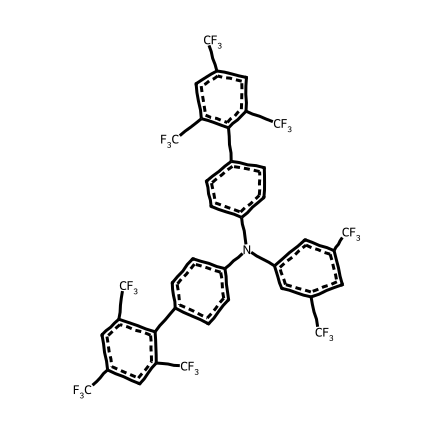 FC(F)(F)c1cc(N(c2ccc(-c3c(C(F)(F)F)cc(C(F)(F)F)cc3C(F)(F)F)cc2)c2ccc(-c3c(C(F)(F)F)cc(C(F)(F)F)cc3C(F)(F)F)cc2)cc(C(F)(F)F)c1